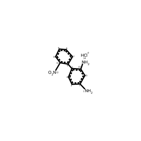 Cl.Nc1ccc(-c2ccccc2[N+](=O)[O-])c(N)c1